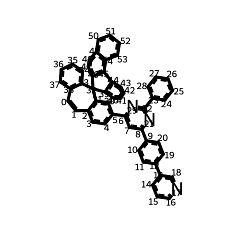 C1=Cc2ccc(-c3cc(-c4ccc(-c5cccnc5)cc4)nc(-c4ccccc4)n3)cc2C2(c3ccccc31)c1ccccc1-c1c2ccc2ccccc12